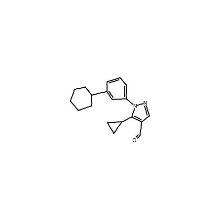 O=Cc1cnn(-c2cccc(C3CCCCC3)c2)c1C1CC1